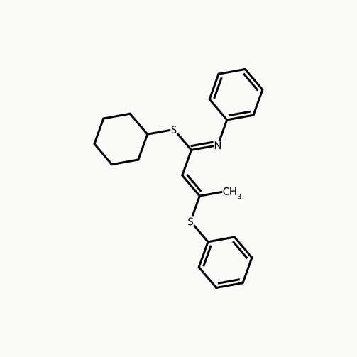 CC(=CC(=Nc1ccccc1)SC1CCCCC1)Sc1ccccc1